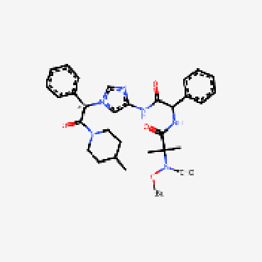 CC1CCN(C(=O)[C@@H](c2ccccc2)n2cnc(NC(=O)C(NC(=O)C(C)(C)N(C=O)OC(C)(C)C)c3ccccc3)c2)CC1